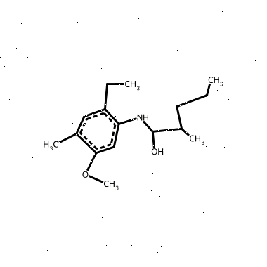 CCCC(C)C(O)Nc1cc(OC)c(C)cc1CC